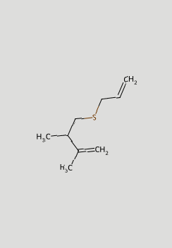 C=CCSCC(C)C(=C)C